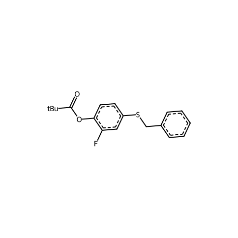 CC(C)(C)C(=O)Oc1ccc(SCc2ccccc2)cc1F